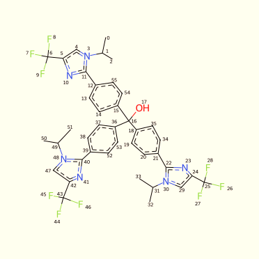 CC(C)n1cc(C(F)(F)F)nc1-c1ccc(C(O)(c2ccc(-c3nc(C(F)(F)F)cn3C(C)C)cc2)c2ccc(-c3nc(C(F)(F)F)cn3C(C)C)cc2)cc1